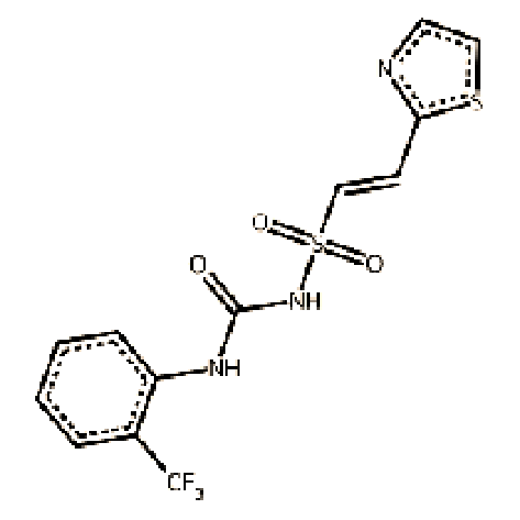 O=C(Nc1ccccc1C(F)(F)F)NS(=O)(=O)/C=C/c1nccs1